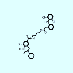 CCN(Cc1cc(C(=O)NCCCCOC(=O)Cc2ccccc2Nc2c(Cl)cccc2Cl)cc(Br)c1N)C1CCCCC1